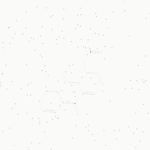 COc1c(OC(C)=O)cccc1C(=O)c1ccccc1